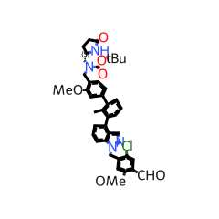 COc1cc(Cn2ncc3c(-c4cccc(-c5ccc(CN(C[C@@H]6CCC(=O)N6)C(=O)OC(C)(C)C)c(OC)c5)c4C)cccc32)c(Cl)cc1C=O